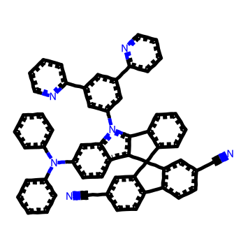 N#Cc1ccc2c(c1)C1(c3cc(C#N)ccc3-2)c2ccccc2-c2c1c1ccc(N(c3ccccc3)c3ccccc3)cc1n2-c1cc(-c2ccccn2)cc(-c2ccccn2)c1